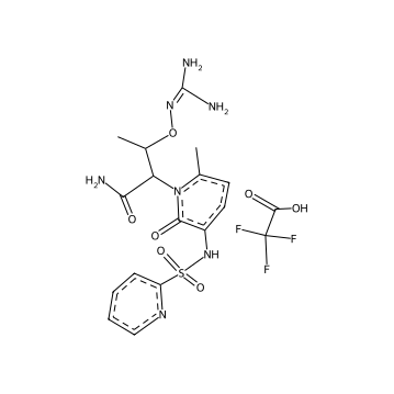 Cc1ccc(NS(=O)(=O)c2ccccn2)c(=O)n1C(C(N)=O)C(C)ON=C(N)N.O=C(O)C(F)(F)F